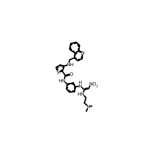 CN(C)CCN/C(=C/[N+](=O)[O-])Nc1cccc(NC(=O)c2sccc2NCc2ccnc3ccccc23)c1